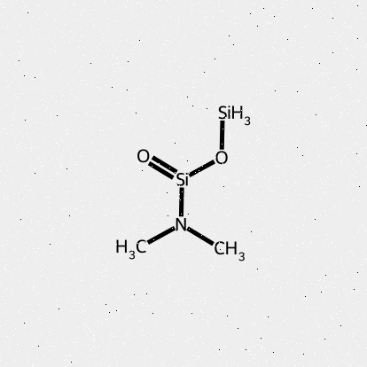 CN(C)[Si](=O)O[SiH3]